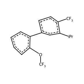 CC(C)c1cc(-c2ccccc2OC(F)(F)F)ccc1C(F)(F)F